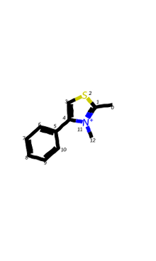 Cc1scc(-c2ccccc2)[n+]1C